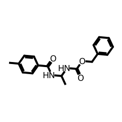 Cc1ccc(C(=O)NC(C)NC(=O)OCc2ccccc2)cc1